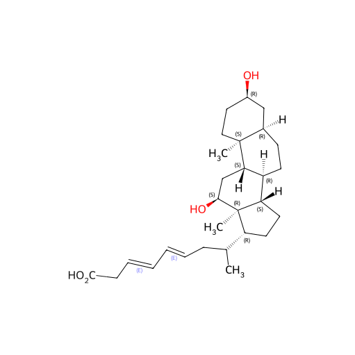 CC(C/C=C/C=C/CC(=O)O)[C@H]1CC[C@H]2[C@@H]3CC[C@@H]4C[C@H](O)CC[C@]4(C)[C@H]3C[C@H](O)[C@]12C